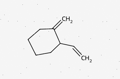 C=CC1CCCCC1=C